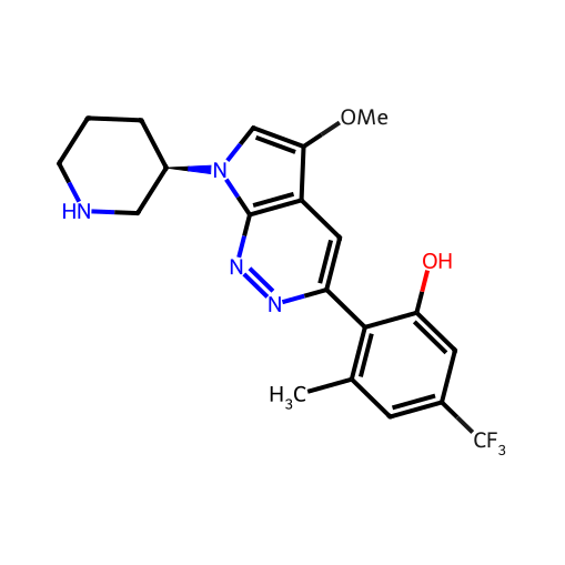 COc1cn([C@@H]2CCCNC2)c2nnc(-c3c(C)cc(C(F)(F)F)cc3O)cc12